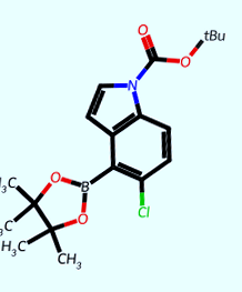 CC(C)(C)OC(=O)n1ccc2c(B3OC(C)(C)C(C)(C)O3)c(Cl)ccc21